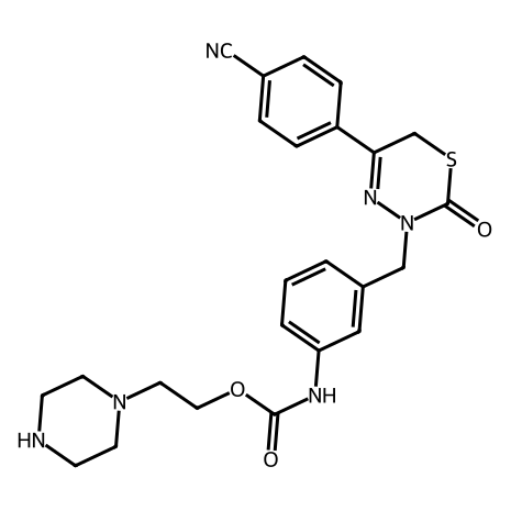 N#Cc1ccc(C2=NN(Cc3cccc(NC(=O)OCCN4CCNCC4)c3)C(=O)SC2)cc1